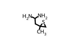 CC1(CC(N)N)CS1